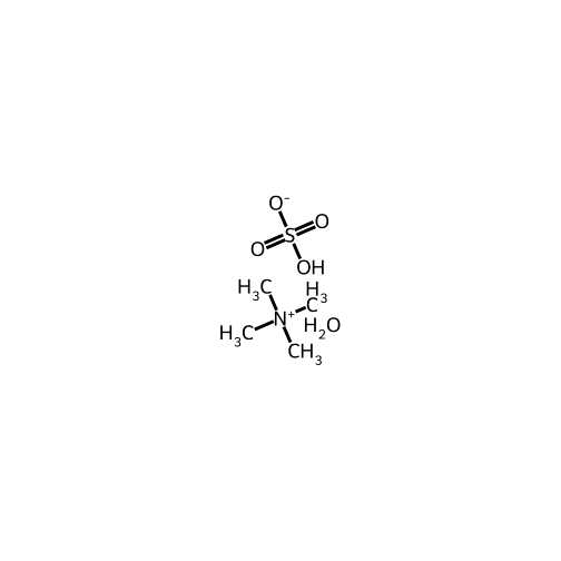 C[N+](C)(C)C.O.O=S(=O)([O-])O